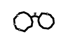 B(C1CCCCCCCCCCCC1)C1CCCCCCCCCC1